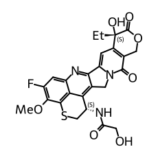 CC[C@@]1(O)C(=O)OCc2c1cc1n(c2=O)Cc2c-1nc1cc(F)c(OC)c3c1c2[C@H](NC(=O)CO)CS3